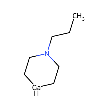 CCCN1C[CH2][GaH][CH2]C1